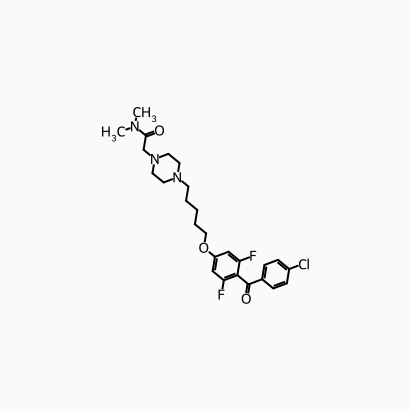 CN(C)C(=O)CN1CCN(CCCCCOc2cc(F)c(C(=O)c3ccc(Cl)cc3)c(F)c2)CC1